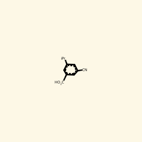 CC(C)c1cc(C#N)cc(C(=O)O)c1